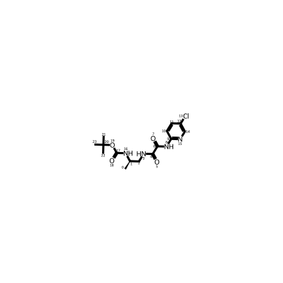 C[C@H](CNC(=O)C(=O)Nc1ccc(Cl)cn1)NC(=O)OC(C)(C)C